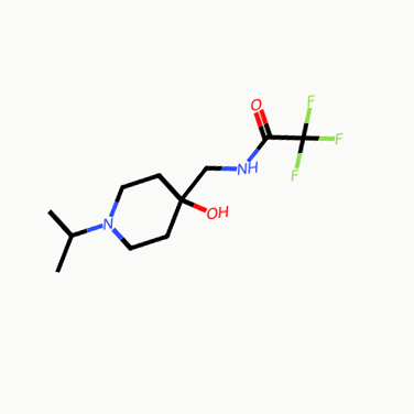 CC(C)N1CCC(O)(CNC(=O)C(F)(F)F)CC1